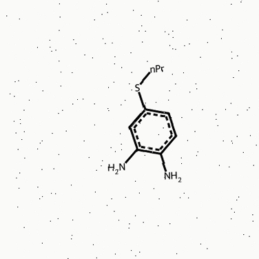 CCCSc1ccc(N)c(N)c1